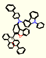 c1ccc(-c2ccc([C@@H](c3ccccc3-c3ccccc3)c3ccc(N(c4ccc(-c5ccccc5)cc4)c4ccc5c(c4)c4ccccc4n5-c4ccccc4)c4c3oc3ccccc34)cc2)cc1